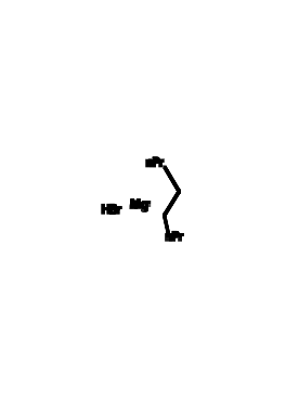 Br.CCCCCCCC.[Mg]